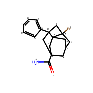 NC(=O)C12CC3CC4(Br)CC(c5ccccc5)(C1)C4(C3)C2